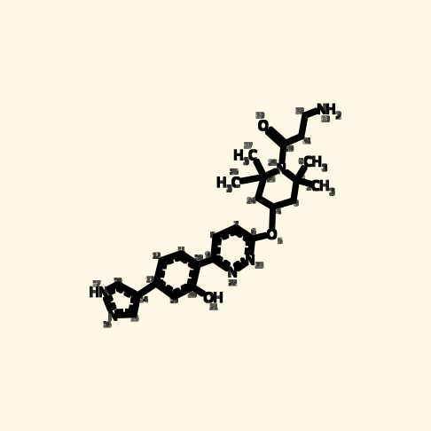 CC1(C)CC(Oc2ccc(-c3ccc(-c4cn[nH]c4)cc3O)nn2)CC(C)(C)N1C(=O)CCN